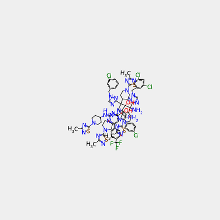 Cc1nsc(N2CCC(Nc3nc(-c4ccc(C(F)(F)F)cc4)cc(C(O)(CN)CC(c4ncn(Cc5cccc(Cl)c5)n4)(C4CCN(c5nc(C)ns5)CC4)C(O)(c4cc(-c5ccc(Cl)cc5)nc(NC5CCN(c6nc(C)ns6)CC5)n4)C(N)(c4ncn(Cc5cc(Cl)cc(Cl)c5)n4)C4CCN(c5nc(C)ns5)CC4)n3)CC2)n1